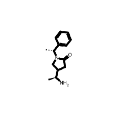 C[C@H](N)C1CC(=O)N([C@H](C)c2ccccc2)C1